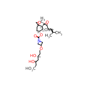 CO[C@@H]1[C@H](OC(=O)N2CC(OCC[C@@H](O)C[C@@H](O)CC(=O)O)C2)CC[C@]2(CO2)[C@H]1[C@@]1(C)OC1CC=C(C)C